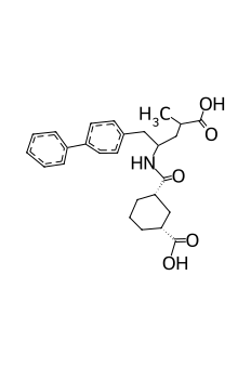 CC(CC(Cc1ccc(-c2ccccc2)cc1)NC(=O)[C@H]1CCC[C@@H](C(=O)O)C1)C(=O)O